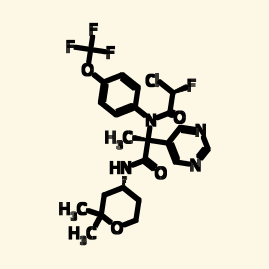 CC1(C)C[C@H](NC(=O)[C@@](C)(c2cncnc2)N(C(=O)[C@H](F)Cl)c2ccc(OC(F)(F)F)cc2)CCO1